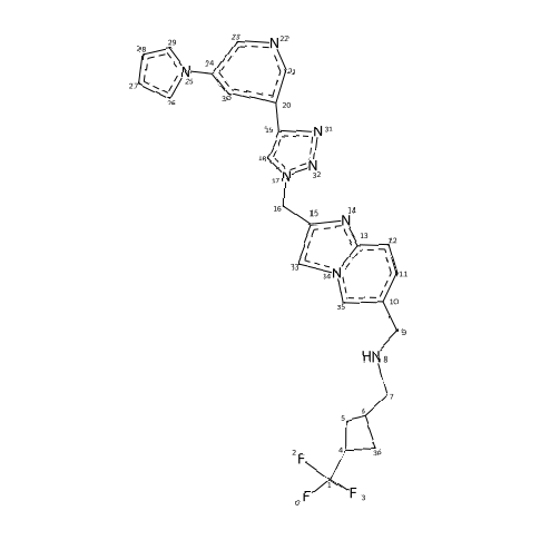 FC(F)(F)C1CC(CNCc2ccc3nc(Cn4cc(-c5cncc(-n6cccc6)c5)nn4)cn3c2)C1